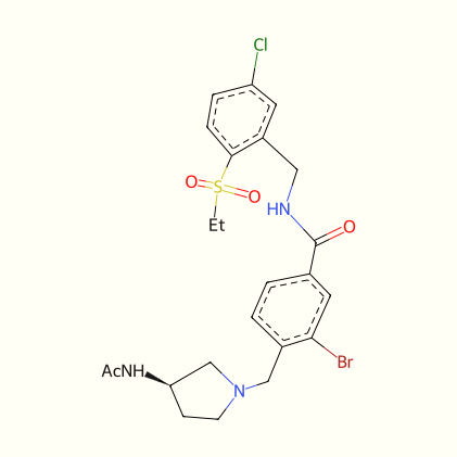 CCS(=O)(=O)c1ccc(Cl)cc1CNC(=O)c1ccc(CN2CC[C@@H](NC(C)=O)C2)c(Br)c1